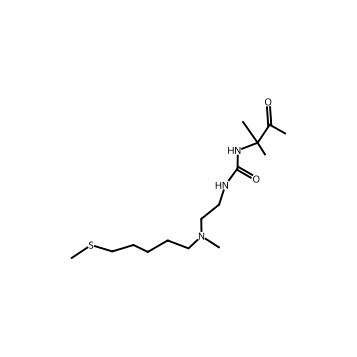 CSCCCCCN(C)CCNC(=O)NC(C)(C)C(C)=O